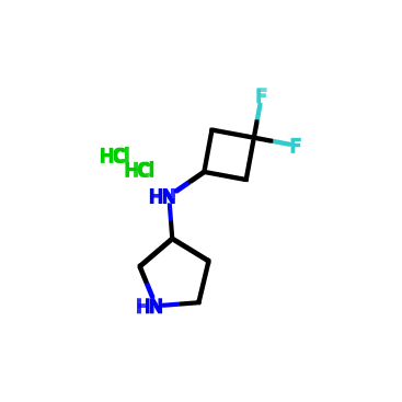 Cl.Cl.FC1(F)CC(NC2CCNC2)C1